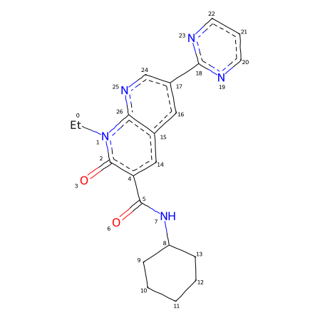 CCn1c(=O)c(C(=O)NC2CCCCC2)cc2cc(-c3ncccn3)cnc21